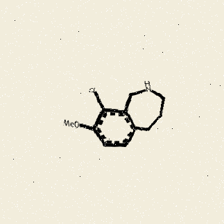 COc1ccc2c(c1Cl)CNCCC2